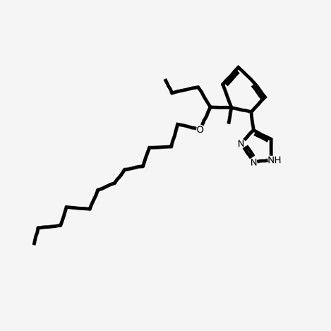 CCCCCCCCCCCCOC(CCC)C1(C)C=CC=CC1c1c[nH]nn1